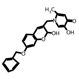 Cc1cc(=O)c(O)cn1CC1=Cc2ccc(OCc3ccccc3)cc2OC1O